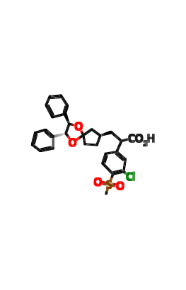 CS(=O)(=O)c1ccc(C(C[C@H]2CCC3(C2)O[C@H](c2ccccc2)[C@@H](c2ccccc2)O3)C(=O)O)cc1Cl